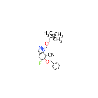 C[Si](C)(C)CCOCn1ncc2cc(F)c(OCc3ccccc3)c(C#N)c21